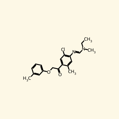 CCN(C)C=Nc1cc(C)c(C(=O)COc2cccc(C)c2)cc1Cl